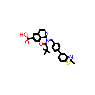 Cc1nc2cc(-c3ccc(CN(C(=O)CC(C)(C)C)c4nccc5cc(C(=O)O)ccc45)cc3)ccc2s1